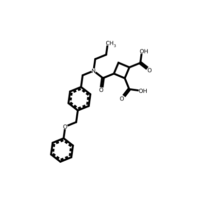 CCCN(Cc1ccc(COc2ccccc2)cc1)C(=O)C1CC(C(=O)O)C1C(=O)O